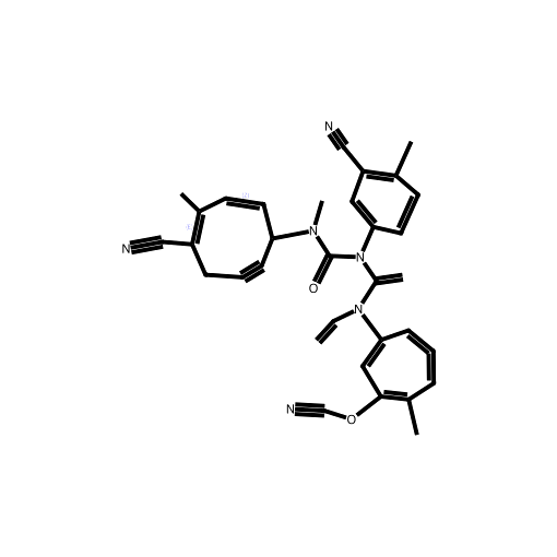 C=CN(C(=C)N(C(=O)N(C)C1C#CC/C(C#N)=C(C)\C=C/1)c1ccc(C)c(C#N)c1)C1=CC(OC#N)=C(C)C=C=C1